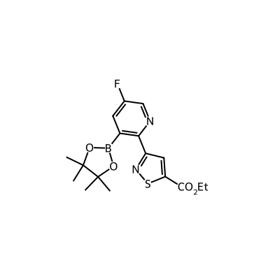 CCOC(=O)c1cc(-c2ncc(F)cc2B2OC(C)(C)C(C)(C)O2)ns1